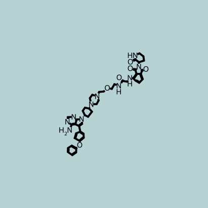 Nc1ncnc2c1c(-c1ccc(Oc3ccccc3)cc1)cn2[C@H]1CC[C@H](N2CCN(CCOCCNC(=O)CNc3cccc4c3C(=O)N(C3CCCNC3=O)C4=O)CC2)CC1